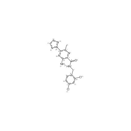 Cc1nc(C(=O)NCc2ccc(Cl)cc2Cl)c(N)nc1-n1nccn1